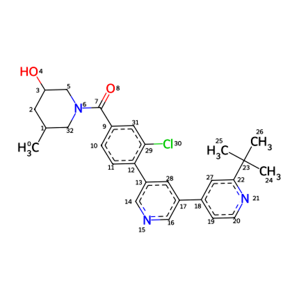 CC1CC(O)CN(C(=O)c2ccc(-c3cncc(-c4ccnc(C(C)(C)C)c4)c3)c(Cl)c2)C1